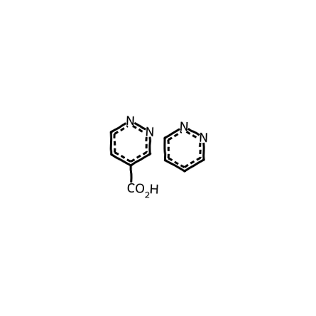 O=C(O)c1ccnnc1.c1ccnnc1